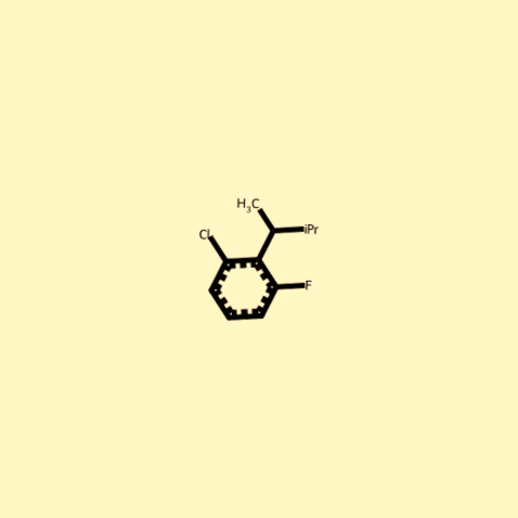 CC(C)C(C)c1c(F)cccc1Cl